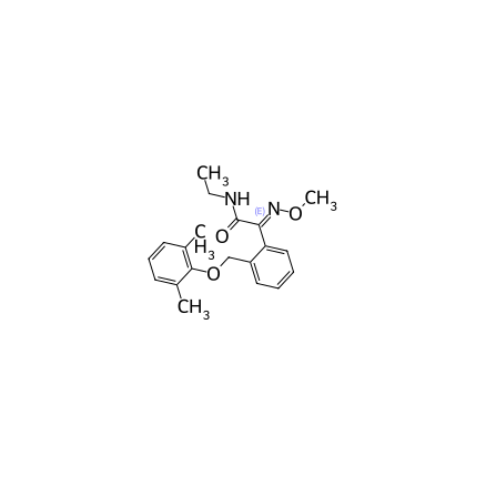 CCNC(=O)/C(=N/OC)c1ccccc1COc1c(C)cccc1C